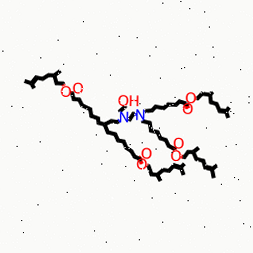 CC(C)=CCCC(C)CCOC(=O)CCCCCCCC(CCCCCCCC(=O)OCCC(C)CCC=C(C)C)CCN(CCO)CCN(CCCCCCCC(=O)OCCC(C)CCC=C(C)C)CCCCCCCC(=O)OCCC(C)CCC=C(C)C